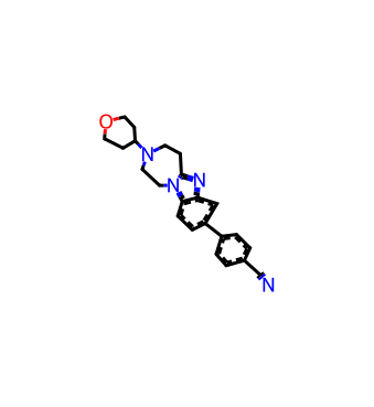 N#Cc1ccc(-c2ccc3c(c2)nc2n3CCN(C3CCOCC3)CC2)cc1